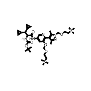 Cc1nn(COCCS(C)(C)C)c(C)c1-c1ncc(NC(=O)C(NC(=O)OC(C)(C)C)C(C2CC2)C2CC2)cc1OCOCCS(C)(C)C